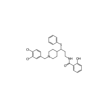 O=C(NCCC(Sc1ccccc1)C1CCN(Cc2ccc(Cl)c(Cl)c2)CC1)c1ccccc1O